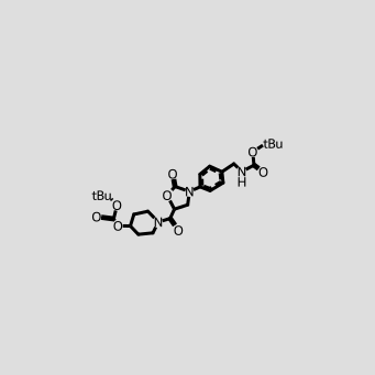 CC(C)(C)OC(=O)NCc1ccc(N2CC(C(=O)N3CCC(OC(=O)OC(C)(C)C)CC3)OC2=O)cc1